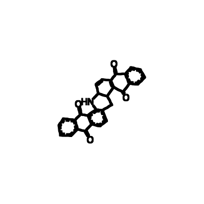 O=C1C2=C(C(=O)c3ccccc31)C1Cc3ccc4c(c3NC1C=C2)C(=O)c1ccccc1C4=O